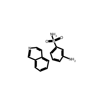 Nc1cccc(S(N)(=O)=O)c1.c1ccc2cnccc2c1